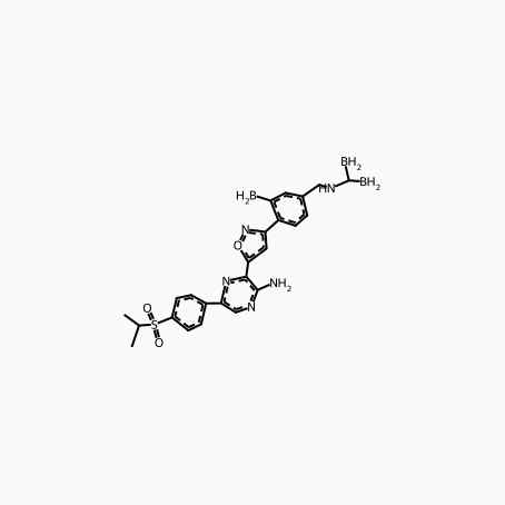 Bc1cc(CNC(B)B)ccc1-c1cc(-c2nc(-c3ccc(S(=O)(=O)C(C)C)cc3)cnc2N)on1